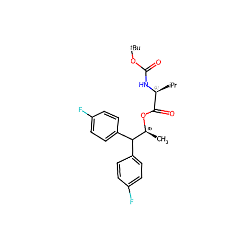 CC(C)[C@H](NC(=O)OC(C)(C)C)C(=O)O[C@@H](C)C(c1ccc(F)cc1)c1ccc(F)cc1